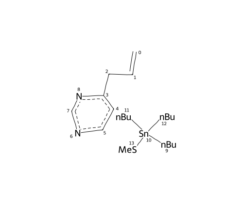 C=CCc1ccncn1.CCC[CH2][Sn]([CH2]CCC)([CH2]CCC)[S]C